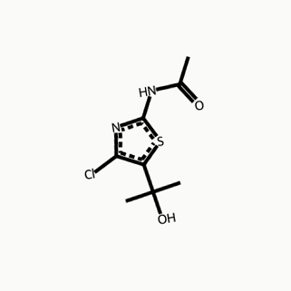 CC(=O)Nc1nc(Cl)c(C(C)(C)O)s1